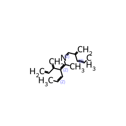 C=CC(=C)C(/C=C\C)=C(C)\N=C/C(=C)/C=C\C